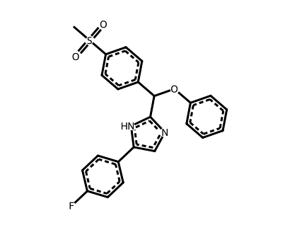 CS(=O)(=O)c1ccc(C(Oc2ccccc2)c2ncc(-c3ccc(F)cc3)[nH]2)cc1